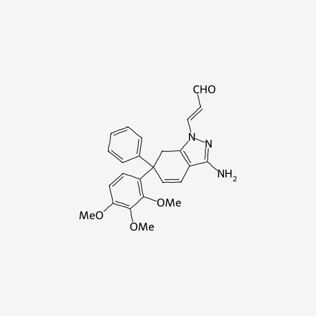 COc1ccc(C2(c3ccccc3)C=Cc3c(N)nn(C=CC=O)c3C2)c(OC)c1OC